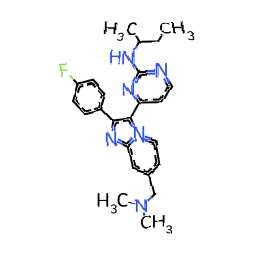 CCC(C)Nc1nccc(-c2c(-c3ccc(F)cc3)nc3cc(CN(C)C)ccn23)n1